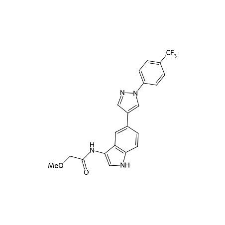 COCC(=O)Nc1c[nH]c2ccc(-c3cnn(-c4ccc(C(F)(F)F)cc4)c3)cc12